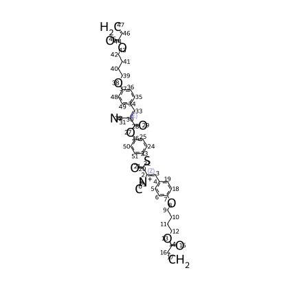 [C-]#[N+]/C(=C\c1ccc(OCCCCOC(=O)C=C)cc1)C(=O)Sc1ccc(OC(=O)/C(C#N)=C/c2ccc(OCCCCOC(=O)C=C)cc2)cc1